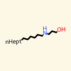 CCCCCCCCCCCCCNCCCO